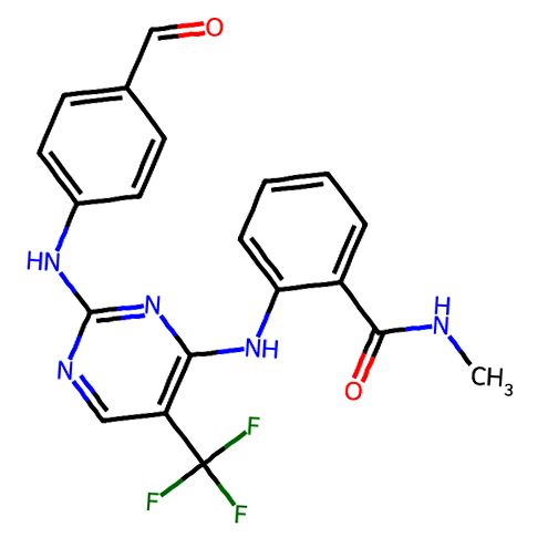 CNC(=O)c1ccccc1Nc1nc(Nc2ccc(C=O)cc2)ncc1C(F)(F)F